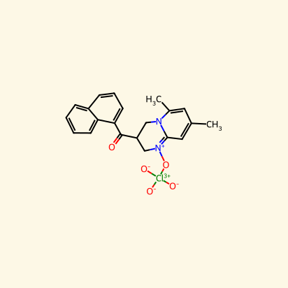 CC1=CC2=[N+](O[Cl+3]([O-])([O-])[O-])CC(C(=O)c3cccc4ccccc34)CN2C(C)=C1